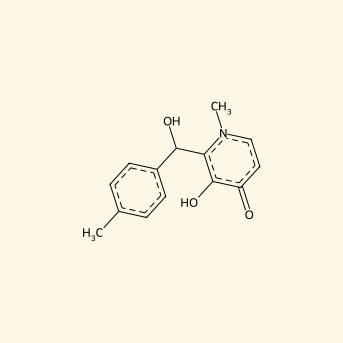 Cc1ccc(C(O)c2c(O)c(=O)ccn2C)cc1